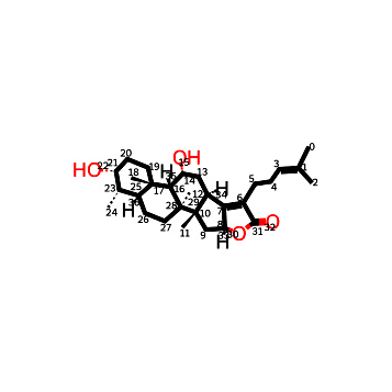 CC(C)=CCCC1=C2[C@H](C[C@@]3(C)[C@H]2C[C@@H](O)[C@H]2[C@@]4(C)CC[C@@H](O)[C@@H](C)[C@@H]4CC[C@@]23C)OC1=O